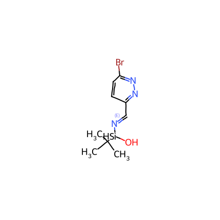 CC(C)(C)[SiH](O)/N=C/c1ccc(Br)nn1